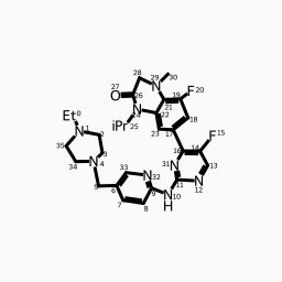 CCN1CCN(Cc2ccc(Nc3ncc(F)c(-c4cc(F)c5c(c4)N(C(C)C)C(=O)CN5C)n3)nc2)CC1